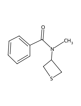 CN(C(=O)c1ccccc1)C1CSC1